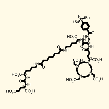 CC(C)(C)[Si](F)(c1ccc(C(=O)NC[C@@H](NC(=O)CC[C@H](C(=O)O)N2CCN(CC(=O)O)CCN(CC(=O)O)CCN(CC(=O)O)CC2)C(=O)N[C@H](CCCCNC(=O)CCCCCCC(=O)NCCCC[C@H](NC(=O)N[C@@H](CCC(=O)O)C(=O)O)C(=O)O)C(=O)O)cc1)C(C)(C)C